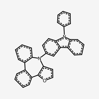 c1ccc(-n2c3ccccc3c3cc(N4c5ccccc5-c5ccccc5-c5occc54)ccc32)cc1